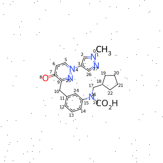 Cn1cc(-n2ccc(=O)c(Cc3cccc(N(CC4CCCC4)C(=O)O)c3)n2)cn1